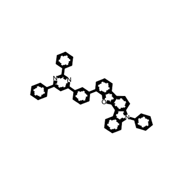 c1ccc(-c2cc(-c3cccc(-c4cccc5c4oc4c5ccc5c4c4ccccc4n5-c4ccccc4)c3)nc(-c3ccccc3)n2)cc1